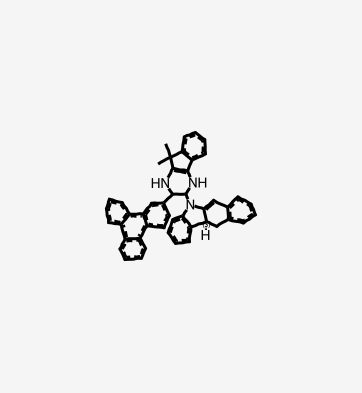 CC1(C)C2=C(NC(N3C4=Cc5ccccc5C[C@H]4c4ccccc43)C(c3ccc4c5ccccc5c5ccccc5c4c3)N2)c2ccccc21